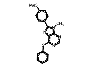 CSc1ccc(-c2nc3c(Sc4ccccc4)ncnc3n2C)cc1